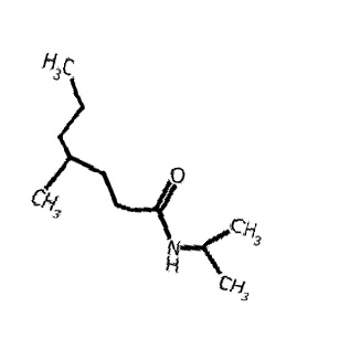 CCCC(C)CCC(=O)NC(C)C